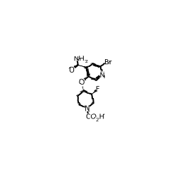 NC(=O)c1cc(Br)ncc1O[C@H]1CCN(C(=O)O)C[C@@H]1F